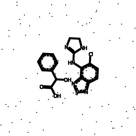 Clc1ccc2nsnc2c1NC1=NCCN1.O=C(O)C(O)c1ccccc1